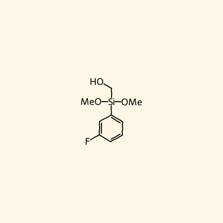 CO[Si](CO)(OC)c1cccc(F)c1